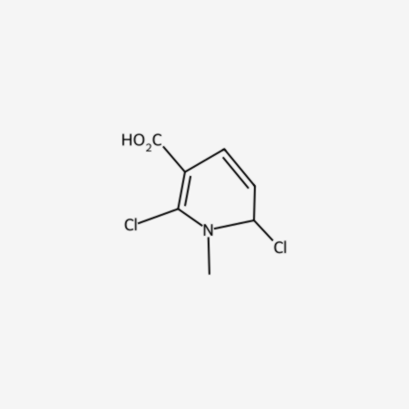 CN1C(Cl)=C(C(=O)O)C=CC1Cl